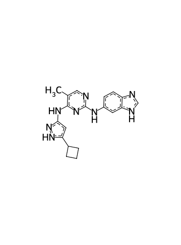 Cc1cnc(Nc2ccc3nc[nH]c3c2)nc1Nc1cc(C2CCC2)[nH]n1